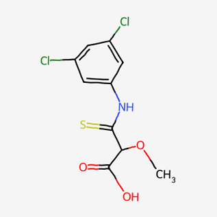 COC(C(=O)O)C(=S)Nc1cc(Cl)cc(Cl)c1